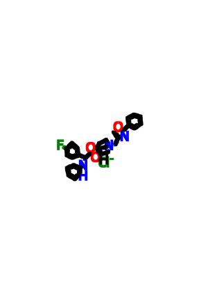 O=C(O[C@H]1C[N+]2(Cc3coc(-c4ccccc4)n3)CCC1CC2)C(Nc1ccccc1)c1ccc(F)cc1.[Cl-]